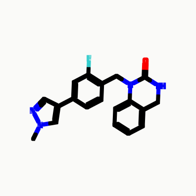 Cn1cc(-c2ccc(CN3C(=O)NCc4ccccc43)c(F)c2)cn1